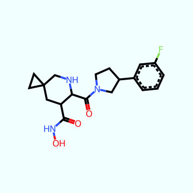 O=C(NO)C1CC2(CC2)CNC1C(=O)N1CCC(c2cccc(F)c2)C1